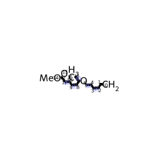 C=C/C=C\C=C\OC(/C=C\C=C\C(=O)OC)=C/C